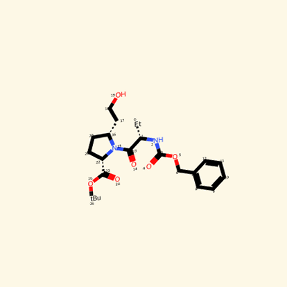 CC[C@H](NC(=O)OCc1ccccc1)C(=O)N1[C@@H](CCO)CC[C@H]1C(=O)OC(C)(C)C